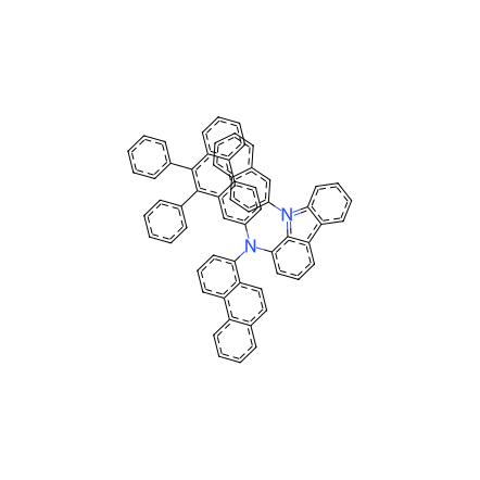 c1ccc(-c2c(-c3ccccc3)c3cc(N(c4cccc5c4ccc4ccccc45)c4cccc5c6ccccc6n(-c6ccc7ccccc7c6)c45)ccc3c3ccccc23)cc1